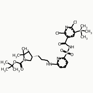 CC(C)(C)OC(=O)N1C[C@@H](CCCNc2cccc(S(=O)(=O)NC(=O)c3cc(S(C)(C)C)c(Cl)nc3Cl)n2)CC1(C)C